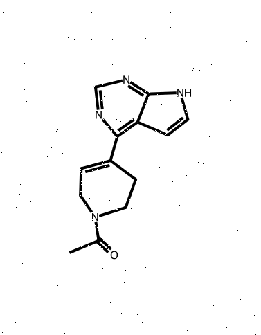 CC(=O)N1CC=C(c2ncnc3[nH]ccc23)CC1